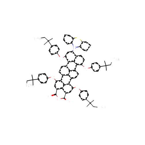 CC(C)(C)CC(C)(C)c1ccc(Oc2ccc3c(N4c5ccccc5Sc5ccccc54)cc(Oc4ccc(C(C)(C)CC(C)(C)C)cc4)c4c5ccc6c7c(Oc8ccc(C(C)(C)CC(C)(C)C)cc8)cc8c9c(cc(Oc%10ccc(C(C)(C)CC(C)(C)C)cc%10)c(c%10ccc(c2c34)c5c%106)c97)C(=O)OC8=O)cc1